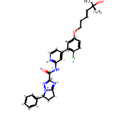 CC(C)(O)CCCCOc1ccc(Cl)c(-c2ccnc(NC(=O)c3nc4n(n3)C(c3ccccc3)CC4)c2)c1